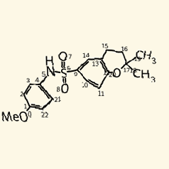 COc1ccc(NS(=O)(=O)c2ccc3c(c2)CCC(C)(C)O3)cc1